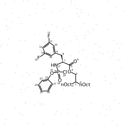 CCCCCCCCC(CCCCCCCC)COC(=O)[C@H](Cc1cc(F)cc(F)c1)NP(=O)(Cl)Oc1ccccc1